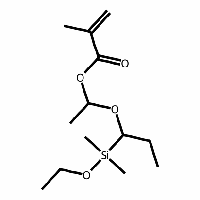 C=C(C)C(=O)OC(C)OC(CC)[Si](C)(C)OCC